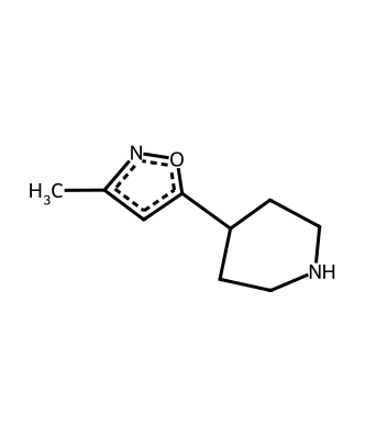 Cc1cc(C2CCNCC2)on1